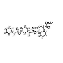 CO/C=C(/C(=O)OC)c1ccccc1CO/N=C(\C)c1cccc(OC(F)=Cc2ccccc2)c1